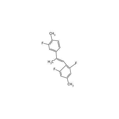 CC(=Cc1c(F)cc(C)cc1F)c1ccc(C)c(F)c1